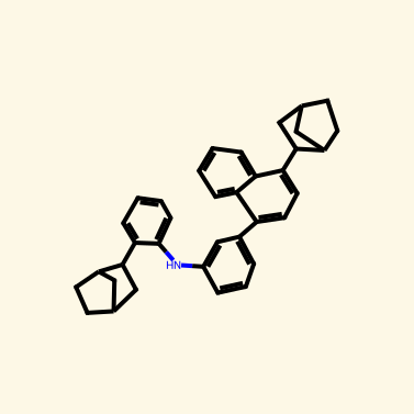 c1cc(Nc2ccccc2C2CC3CCC2C3)cc(-c2ccc(C3CC4CCC3C4)c3ccccc23)c1